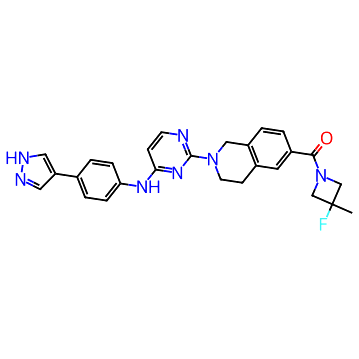 CC1(F)CN(C(=O)c2ccc3c(c2)CCN(c2nccc(Nc4ccc(-c5cn[nH]c5)cc4)n2)C3)C1